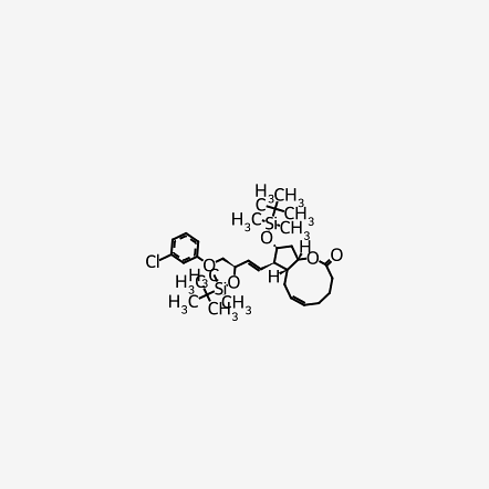 CC(C)(C)[Si](C)(C)O[C@H](/C=C/[C@@H]1[C@H]2C/C=C\CCCC(=O)O[C@H]2C[C@H]1O[Si](C)(C)C(C)(C)C)COc1cccc(Cl)c1